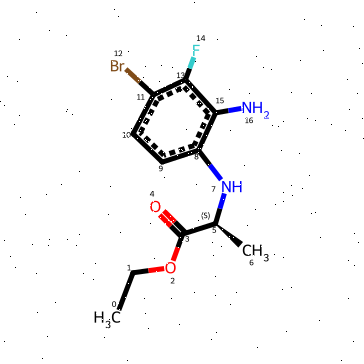 CCOC(=O)[C@H](C)Nc1ccc(Br)c(F)c1N